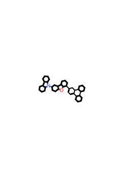 C1=C(c2cccc3c2oc2ccc(-n4c5ccccc5c5ccccc54)cc23)CC2C(=C1)c1ccccc1-c1ccccc12